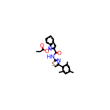 CCC(=O)On1c(C(=O)Nc2nc(-c3c(C)cc(C)cc3C)cs2)cc2ccccc21